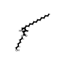 CCCCCCCCCCCCCc1c[nH]c(C(=O)OCCCCCCO)c1F